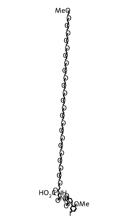 COCCOCCOCCOCCOCCOCCOCCOCCOCCOCCOCCOCCOCCOCCOCCOCCOCCOCCOCCOCCOCCOCCOCCOCCC(=O)N[C@@H](CC(=O)O)C(=O)NCN1C(=O)CCN(c2cc(I)ccc2OC)C1=O